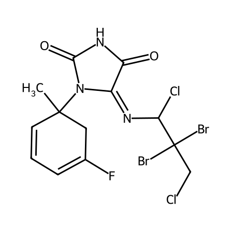 CC1(N2C(=O)NC(=O)C2=NC(Cl)C(Br)(Br)CCl)C=CC=C(F)C1